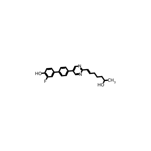 CC(O)CCCC=Cc1ncc(-c2ccc(-c3ccc(O)c(F)c3)cc2)cn1